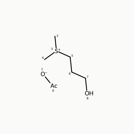 CC(=O)[O-].C[S+](C)CCCO